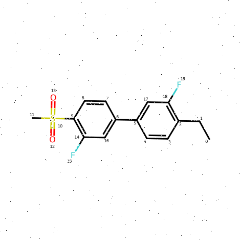 CCc1ccc(-c2ccc(S(C)(=O)=O)c(F)c2)cc1F